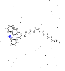 CCCCCCCC/C=C\CCCCCCCCc1ccccc1Nc1cccc2ccccc12